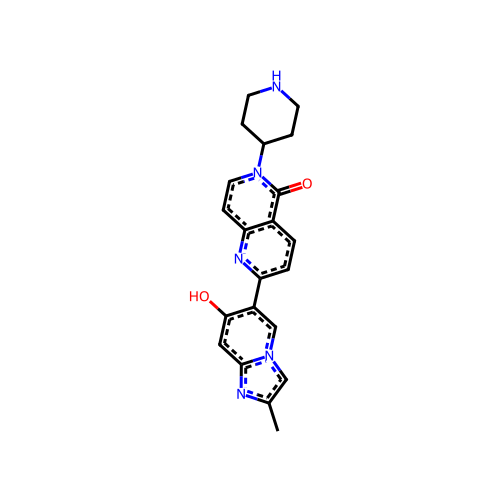 Cc1cn2cc(-c3ccc4c(=O)n(C5CCNCC5)ccc4n3)c(O)cc2n1